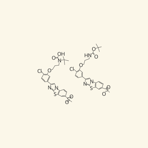 CC(C)(C)N(CCCOc1cc(-c2cn3c(n2)sc2cc(S(C)(=O)=O)ccc23)ccc1Cl)C(=O)O.CC(C)(C)OC(=O)NCCCOc1cc(-c2cn3c(n2)sc2cc(S(C)(=O)=O)ccc23)ccc1Cl